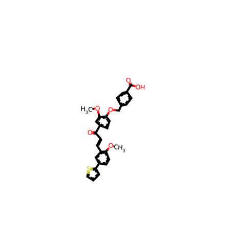 COc1ccc(-c2cccs2)cc1C=CC(=O)c1ccc(OCc2ccc(C(=O)O)cc2)c(OC)c1